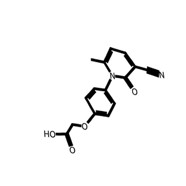 Cc1ccc(C#N)c(=O)n1-c1ccc(OCC(=O)O)cc1